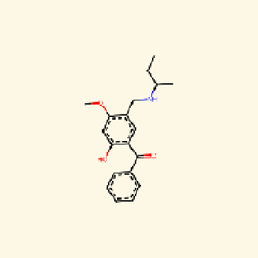 CCC(C)NCc1cc(C(=O)c2ccccc2)c(O)cc1OC